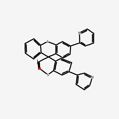 c1ccc(-c2ccc3c(c2)Sc2ccccc2C32c3ccccc3Sc3cc(-c4cccnc4)ccc32)nc1